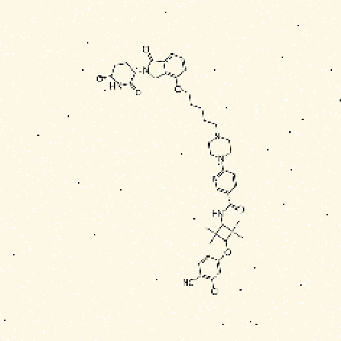 CC1(C)C(NC(=O)c2ccc(N3CCN(CCCCCOc4cccc5c4CN([C@H]4CCC(=O)NC4=O)C5=O)CC3)nc2)C(C)(C)C1Oc1ccc(C#N)c(Cl)c1